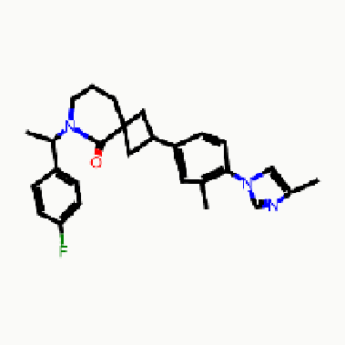 Cc1cn(-c2ccc(C3CC4(CCCN(C(C)c5ccc(F)cc5)C4=O)C3)cc2C)cn1